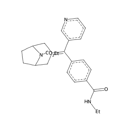 CCNC(=O)c1ccc(C(=C2CC3CCC(C2)N3C(=O)OCC)c2cccnc2)cc1